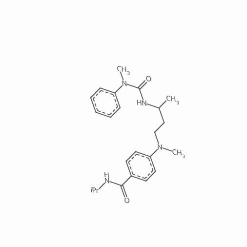 CC(C)NC(=O)c1ccc(N(C)CCC(C)NC(=O)N(C)c2ccccc2)cc1